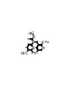 COc1ncc(F)cc1CN(C(=O)OC(C)(C)C)c1ccc(C=O)c(Cl)n1